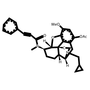 COc1cc(OC(C)=O)c2c3c1O[C@H]1[C@H](N(C)C(=O)C#Cc4ccccc4)CC[C@H]4[C@@H](C2)N(CC2CC2)CC[C@@]341